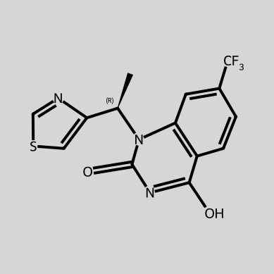 C[C@H](c1cscn1)n1c(=O)nc(O)c2ccc(C(F)(F)F)cc21